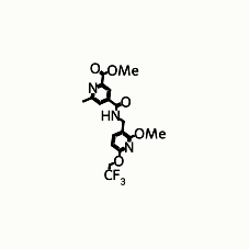 COC(=O)c1cc(C(=O)NCc2ccc(OCC(F)(F)F)nc2OC)cc(C)n1